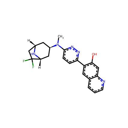 CN(c1ccc(-c2cc3cccnc3cc2O)nn1)[C@@H]1C[C@H]2CC(F)(F)[C@@H](C1)N2